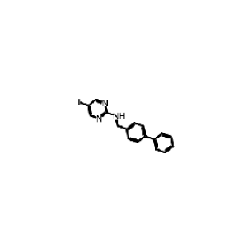 Ic1cnc(NCc2ccc(-c3ccccc3)cc2)nc1